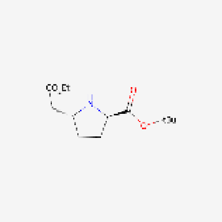 CCOC(=O)C[C@H]1CC[C@H](C(=O)OC(C)(C)C)N1